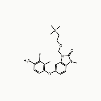 Cc1c(Oc2ccc3c(c2)n(COCC[Si](C)(C)C)c(=O)n3C)ccc(N)c1F